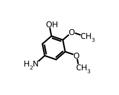 COc1cc(N)cc(O)c1OC